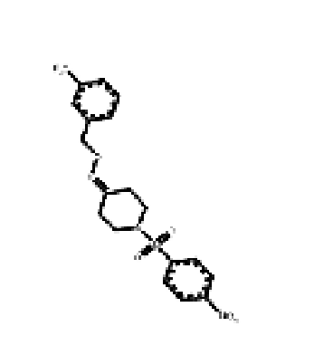 O=[N+]([O-])c1ccc(S(=O)(=O)N2CCC(=NOCc3cccc(C(F)(F)F)c3)CC2)cc1